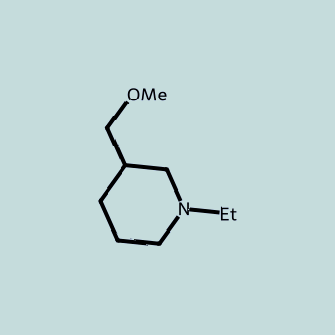 CCN1CCCC(COC)C1